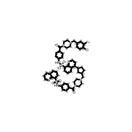 O=C(c1ccc(NS(=O)(=O)c2cccc3c(C4CCC(CN5CCN(C(=O)c6ccc(NS(=O)(=O)c7cccc8cccnc78)cc6)CC5)C4)ccnc23)cc1)N1CCN(Cc2ccc(Cl)c(F)c2)CC1